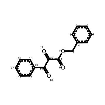 O=C(OCc1ccccc1)C(=O)C(=O)c1ccccc1